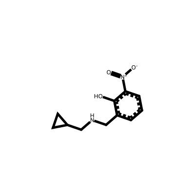 O=[N+]([O-])c1cccc(CNCC2CC2)c1O